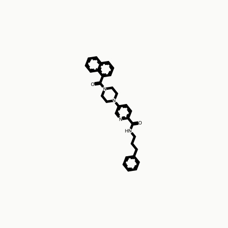 O=C(NCCCc1ccccc1)c1ccc(N2CCN(C(=O)c3cccc4ccccc34)CC2)cn1